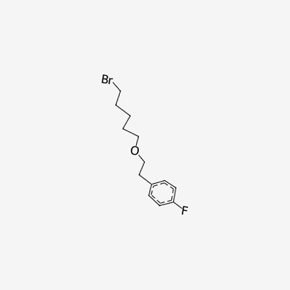 Fc1ccc(CCOCCCCCBr)cc1